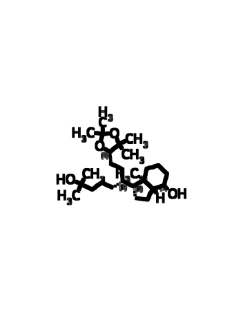 CC(C)(O)CCC[C@H](CC[C@H]1OC(C)(C)OC1(C)C)[C@H]1CC[C@H]2[C@@H](O)CCC[C@]12C